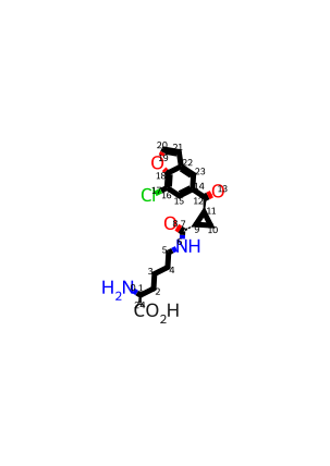 N[C@@H](CCCCNC(=O)[C@H]1C[C@@H]1C(=O)c1cc(Cl)c2occc2c1)C(=O)O